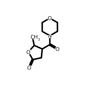 CC1OC(=O)CC1C(=O)N1CCOCC1